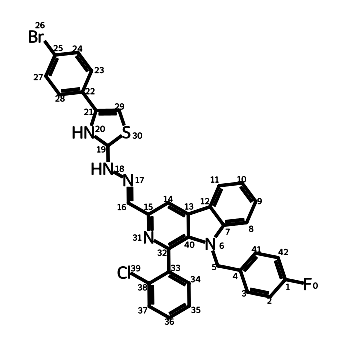 Fc1ccc(Cn2c3ccccc3c3cc(C=NNC4NC(c5ccc(Br)cc5)=CS4)nc(-c4ccccc4Cl)c32)cc1